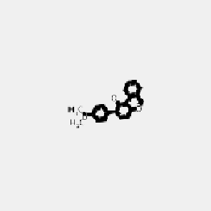 CN(C)c1ccc(-c2ccc3occ4ccccc4c-3c2=O)cc1